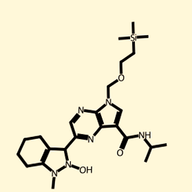 CC(C)NC(=O)c1cn(COCC[Si](C)(C)C)c2ncc(C3C4=C(CCCC4)N(C)N3O)nc12